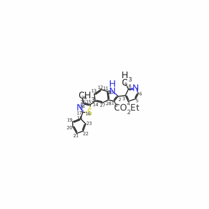 CCOC(=O)c1c(-c2cccnc2C)[nH]c2ccc(-c3sc(-c4ccccc4)nc3C)cc12